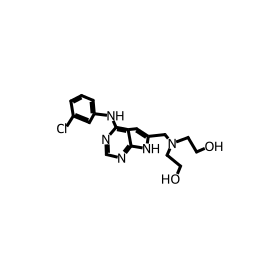 OCCN(CCO)Cc1cc2c(Nc3cccc(Cl)c3)ncnc2[nH]1